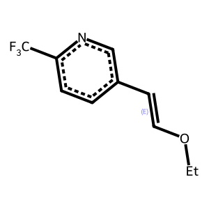 CCO/C=C/c1ccc(C(F)(F)F)nc1